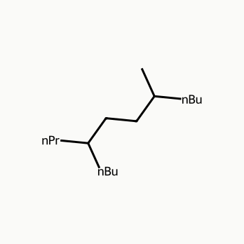 CCCCC(C)CCC(CCC)CCCC